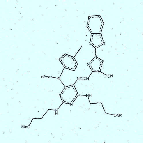 CCCCCN(c1ccc(C)cc1)c1nc(NCCCOC)nc(NCCCOC)c1N=Nc1nn(-c2nc3ccccc3s2)cc1C#N